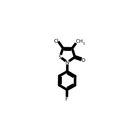 Cc1c(Cl)sn(-c2ccc(F)cc2)c1=O